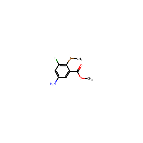 COC(=O)c1cc(N)cc(F)c1SC